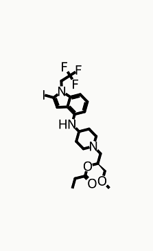 CCC(=O)O[C@H](COC)CN1CCC(Nc2cccc3c2cc(I)n3CC(F)(F)F)CC1